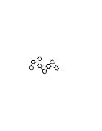 Cc1ccccc1N(c1ccc2c3cc(C(C)(C)C)cc4c5cc6c(cc5n(c2c1)c34)c1cc(C(C)(C)C)cc2c3cc(C(C)(C)C)ccc3n6c21)c1cccc2c1oc1ccccc12